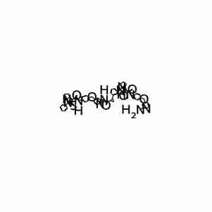 Nc1cc(Oc2ccc(NC(=O)c3c4n(n(-c5cccc(C6CC6C(=O)Nc6cc(Oc7ccc(NC(=O)c8c9n(n(-c%10ccccc%10)c8=S)CCC9)cc7)ccn6)c5)c3=O)CCC4)cc2)ccn1